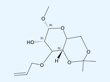 C=CCOC1[C@H]2OC(C)(C)OCC2O[C@@H](OC)[C@H]1O